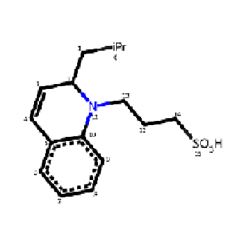 CC(C)CC1C=Cc2ccccc2N1CCCS(=O)(=O)O